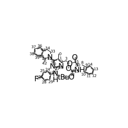 Cc1c(COC(=O)[C@H](Cc2ccccc2)NC(=O)OC(C)(C)C)nc(Nc2ccc(F)cc2)nc1N1CCc2ccccc2C1C